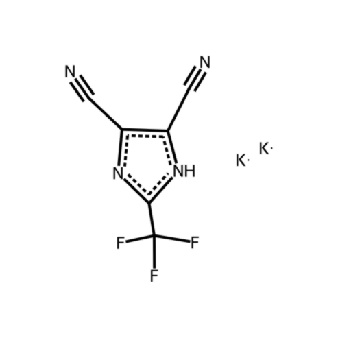 N#Cc1nc(C(F)(F)F)[nH]c1C#N.[K].[K]